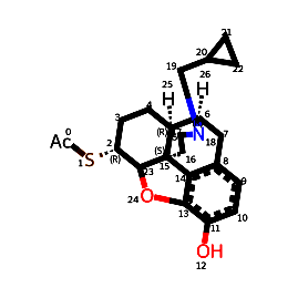 CC(=O)S[C@@H]1CC[C@H]2[C@H]3Cc4ccc(O)c5c4[C@@]2(CCN3CC2CC2)C1O5